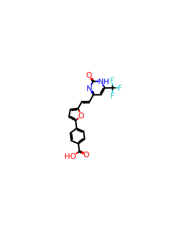 O=C(O)c1ccc(-c2ccc(C=Cc3cc(C(F)(F)F)[nH]c(=O)n3)o2)cc1